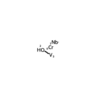 [Cr].[Nb].[OH][V]